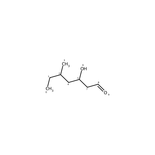 CCC(C)CC(O)CC=O